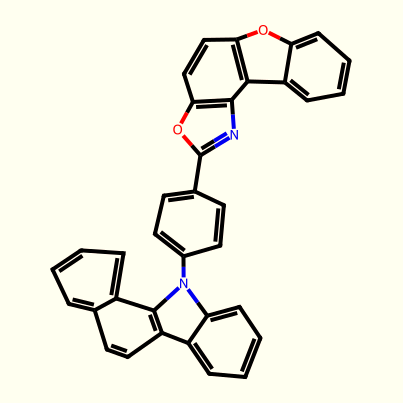 c1ccc2c(c1)ccc1c3ccccc3n(-c3ccc(-c4nc5c(ccc6oc7ccccc7c65)o4)cc3)c21